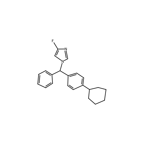 Fc1cn(C(c2ccccc2)c2ccc(C3CCCCC3)cc2)cn1